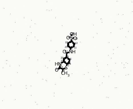 CC1Sc2ccc(C(=O)Nc3ccc(S(=O)(=O)O)cc3)cc2NC1=O